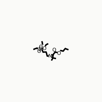 CCCCOC(=O)C1N(CCC[Si](OCC)(OCC)OCC)C1(C)C